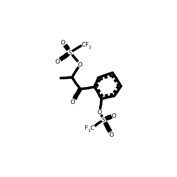 CC(OS(=O)(=O)C(F)(F)F)C(=O)c1ccccc1OS(=O)(=O)C(F)(F)F